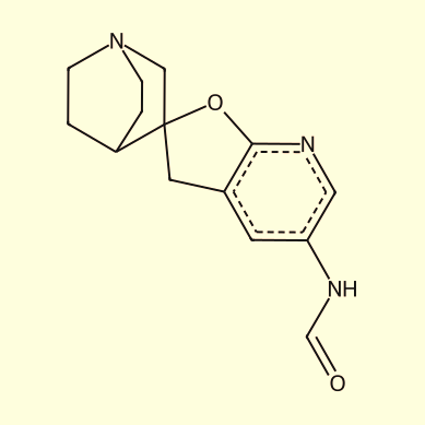 O=CNc1cnc2c(c1)CC1(CN3CCC1CC3)O2